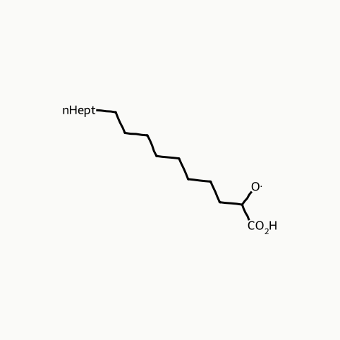 CCCCCCCCCCCCCCCC([O])C(=O)O